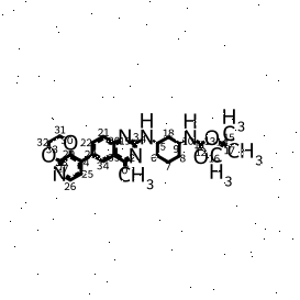 Cc1nc(N[C@@H]2CCC[C@H](NC(=O)OC(C)(C)C)C2)nc2ccc(-c3ccnc4c3OCCO4)cc12